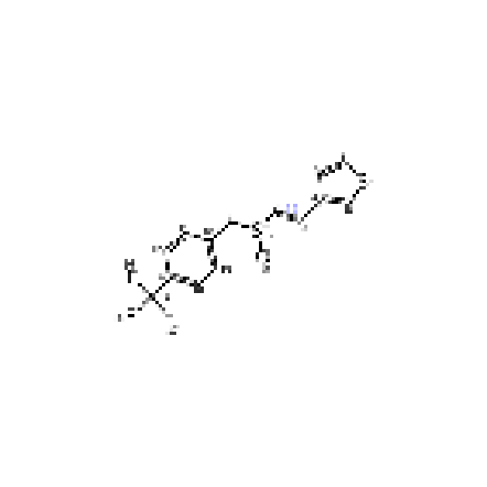 [O-][S+](/C=C/c1ccsc1)Cc1ccc(C(F)(F)F)cc1